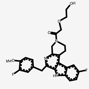 COc1ccc(Cc2nc3c(c4c2[nH]c2ccc(F)cc24)CCN(C(=O)COCCO)C3)cc1F